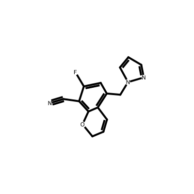 N#Cc1c(F)cc(Cn2cccn2)c2c1OCC=C2